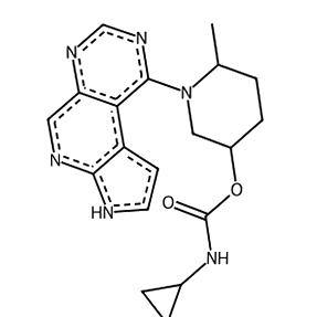 CC1CCC(OC(=O)NC2CC2)CN1c1ncnc2cnc3[nH]ccc3c12